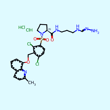 Cc1ccc2cccc(OCc3c(Cl)ccc(S(=O)(=O)N4CCC[C@H]4C(=O)NCCCNC=NN)c3Cl)c2n1.Cl.Cl